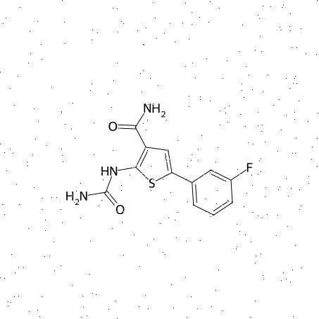 NC(=O)Nc1sc(-c2cccc(F)c2)cc1C(N)=O